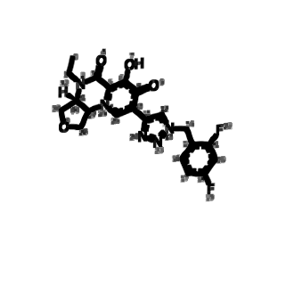 CCN1C(=O)c2c(O)c(=O)c(-c3cn(Cc4ccc(F)cc4F)nn3)cn2C2COC[C@@H]21